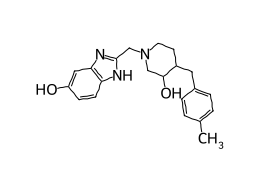 Cc1ccc(CC2CCN(Cc3nc4cc(O)ccc4[nH]3)CC2O)cc1